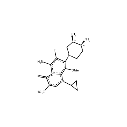 COc1c(N2CC[C@H](N)[C@H](C)C2)c(F)c(N)c2c(=O)c(C(=O)O)cn(C3CC3)c12